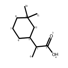 CC(C(=O)O)C1CCCC(C)(C)C1